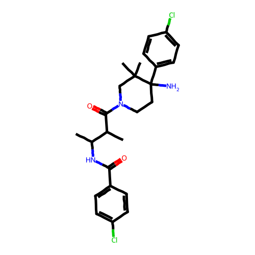 CC(NC(=O)c1ccc(Cl)cc1)C(C)C(=O)N1CCC(N)(c2ccc(Cl)cc2)C(C)(C)C1